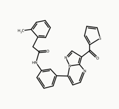 Cc1ccccc1CC(=O)Nc1cccc(-c2ccnc3c(C(=O)c4cccs4)cnn23)c1